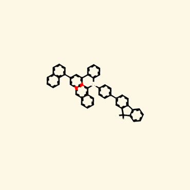 CC1(C)c2ccccc2-c2ccc(-c3ccc(N(c4ccccc4-c4cccc(-c5cccc6ccccc56)c4)c4cccc5ccccc45)cc3)cc21